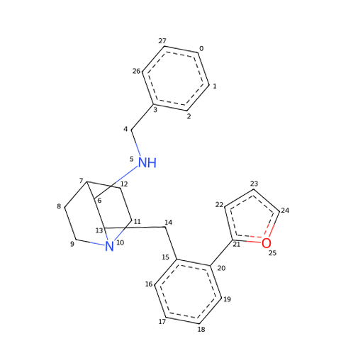 c1ccc(CNC2C3CCN(CC3)C2Cc2ccccc2-c2ccco2)cc1